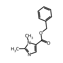 Cc1ncc(C(=O)OCc2ccccc2)n1C